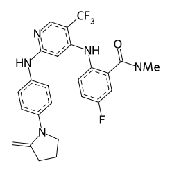 C=C1CCCN1c1ccc(Nc2cc(Nc3ccc(F)cc3C(=O)NC)c(C(F)(F)F)cn2)cc1